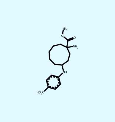 CC(C)(C)OC(=O)C1(N)CCCCCC(Nc2ccc(C(=O)O)cc2)CC1